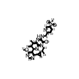 C=C1C(C)=c2nc(NCc3ccc(S(C)(=O)=O)cn3)c(=O)n(CCC)c2=NC1c1c(OC)ncnc1C1CC1